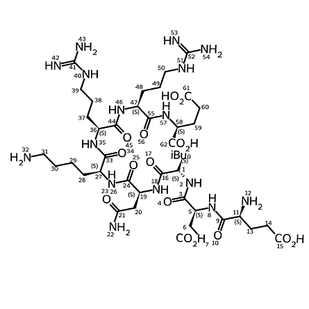 CC[C@H](C)[C@H](NC(=O)[C@H](CC(=O)O)NC(=O)[C@@H](N)CCC(=O)O)C(=O)N[C@@H](CC(N)=O)C(=O)N[C@@H](CCCCN)C(=O)N[C@@H](CCCNC(=N)N)C(=O)N[C@@H](CCCNC(=N)N)C(=O)N[C@@H](CCC(=O)O)C(=O)O